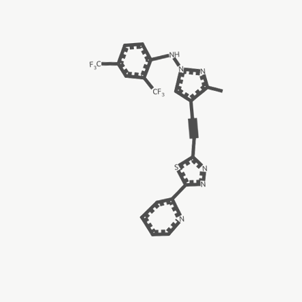 Cc1nn(Nc2ccc(C(F)(F)F)cc2C(F)(F)F)cc1C#Cc1nnc(-c2ccccn2)s1